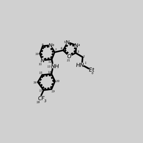 CCNCc1nnc(-c2nccnc2Nc2ccc(C(F)(F)F)cc2)o1